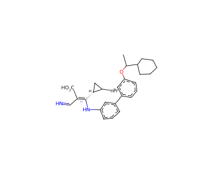 CCCC1C[C@H]1/C(Nc1cccc(-c2cccc(OC(C)C3CCCCC3)c2)c1)=C(/C=N)C(=O)O